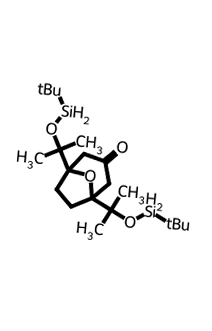 CC(C)(C)[SiH2]OC(C)(C)C12CCC(C(C)(C)O[SiH2]C(C)(C)C)(CC(=O)C1)O2